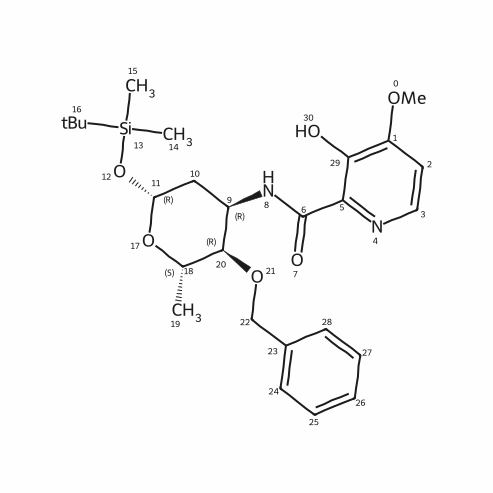 COc1ccnc(C(=O)N[C@@H]2C[C@@H](O[Si](C)(C)C(C)(C)C)O[C@@H](C)[C@@H]2OCc2ccccc2)c1O